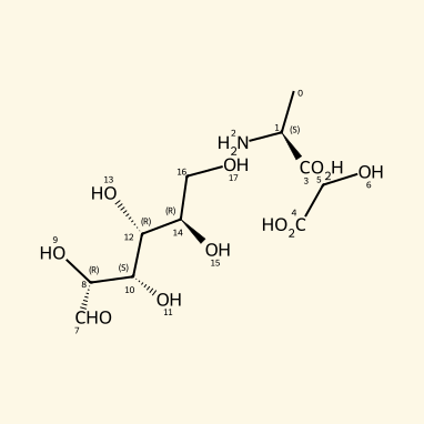 C[C@H](N)C(=O)O.O=C(O)CO.O=C[C@H](O)[C@@H](O)[C@H](O)[C@H](O)CO